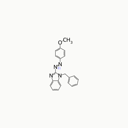 COc1ccc(/N=N/c2nc3ccccc3n2Cc2ccccc2)cc1